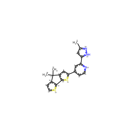 Cc1cc(-c2cc(-c3cc4c(s3)-c3sccc3C4(C)C)ccn2)[nH]n1